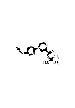 CC(C)(C)OC(=O)C1CN(c2ncc(N=[N+]=[N-])cn2)CCN1